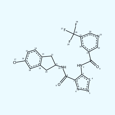 O=C(Nc1snnc1C(=O)NC1Cc2ccc(Cl)cc2C1)c1cncc(C(F)(F)F)c1